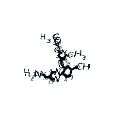 C#Cc1ccc(-c2ncc(CCN)cn2)c(Oc2cc(C)nc(OCCOC)c2)c1